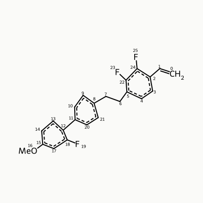 C=Cc1ccc(CCc2ccc(-c3ccc(OC)cc3F)cc2)c(F)c1F